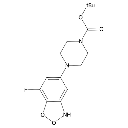 CC(C)(C)OC(=O)N1CCN(c2cc(F)c3c(c2)NOO3)CC1